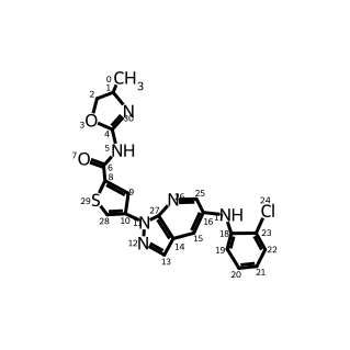 CC1COC(NC(=O)c2cc(-n3ncc4cc(Nc5ccccc5Cl)cnc43)cs2)=N1